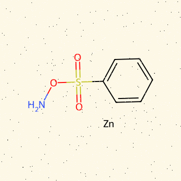 NOS(=O)(=O)c1ccccc1.[Zn]